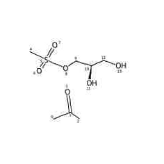 CC(C)=O.CS(=O)(=O)OC[C@H](O)CO